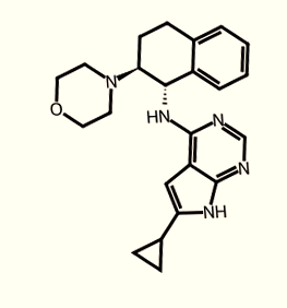 c1ccc2c(c1)CC[C@H](N1CCOCC1)[C@H]2Nc1ncnc2[nH]c(C3CC3)cc12